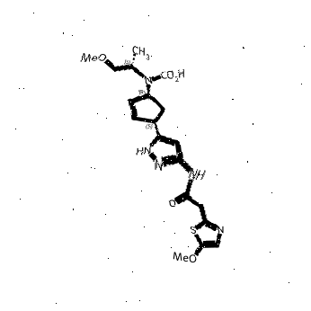 COC[C@H](C)N(C(=O)O)[C@@H]1CC[C@H](c2cc(NC(=O)Cc3ncc(OC)s3)n[nH]2)C1